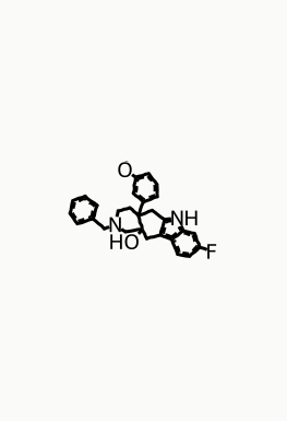 COc1cccc(C23CCN(Cc4ccccc4)CC2(O)Cc2c([nH]c4cc(F)ccc24)C3)c1